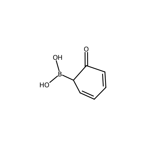 O=C1C=CC=CC1B(O)O